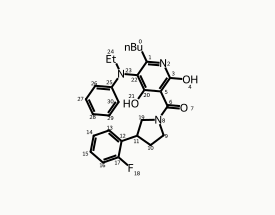 CCCCc1nc(O)c(C(=O)N2CCC(c3ccccc3F)C2)c(O)c1N(CC)c1ccccc1